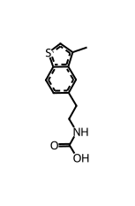 Cc1csc2ccc(CCNC(=O)O)cc12